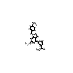 Nc1ccc(Cn2ncc3c(-c4cc(C(=O)O)ccn4)nc(N)nc32)cc1